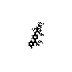 CCCCN1C=NC(C)(OC(=O)OC)C1CC1CCC(C(c2cccc(F)c2)N(C)C)CC1